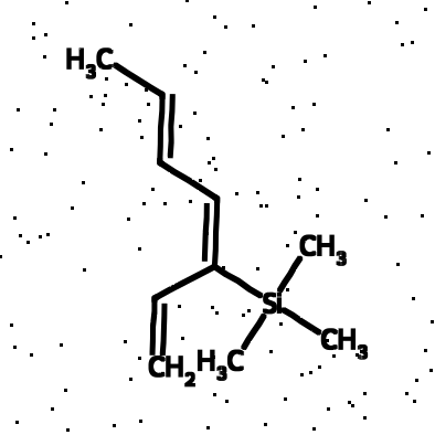 C=C/C(=C\C=C\C)[Si](C)(C)C